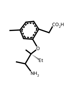 CC[C@](C)(Oc1cc(C)ccc1CC(=O)O)C(C)N